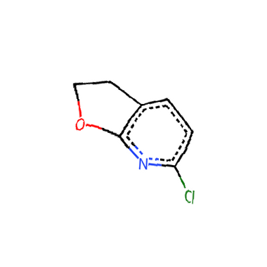 Clc1ccc2c(n1)OCC2